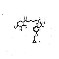 CC(NS(=O)(=O)CCCCNC1CCC(=O)NC1=O)c1cccc(OCC2CC2)c1